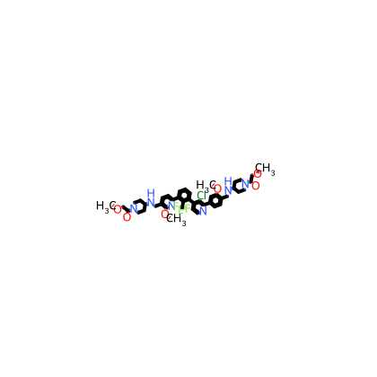 COCC(=O)N1CCC(NCc2ccc(-c3nccc(-c4cccc(-c5ccc(CNC6CCN(C(=O)COC)CC6)c(OC)n5)c4C(F)(F)F)c3Cl)cc2OC)CC1